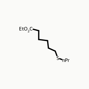 CCCSCCCCCC(=O)OCC